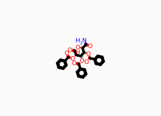 NC(=O)[C@@H](O)[C@@H](OC(=O)c1ccccc1)[C@H](OC(=O)c1ccccc1)[C@H](C=O)OC(=O)c1ccccc1